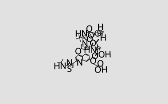 C=CC1C[C@]1(NC(=O)[C@@H]1CC(Oc2cc(-c3csc(NC(C)C)n3)nc3cc(OCC(=O)O)ccc23)CN1C(=O)[C@@H](NC(=O)O[C@@H]1C[C@@H]2C[C@@H]2C1)C(C)(C)C)C(=O)O